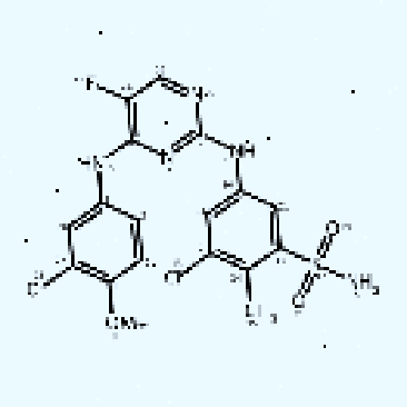 COc1ccc(Nc2nc(Nc3cc(Cl)c(C)c(S(N)(=O)=O)c3)ncc2F)cc1Cl